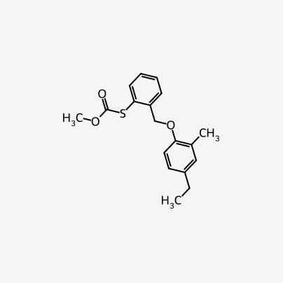 CCc1ccc(OCc2ccccc2SC(=O)OC)c(C)c1